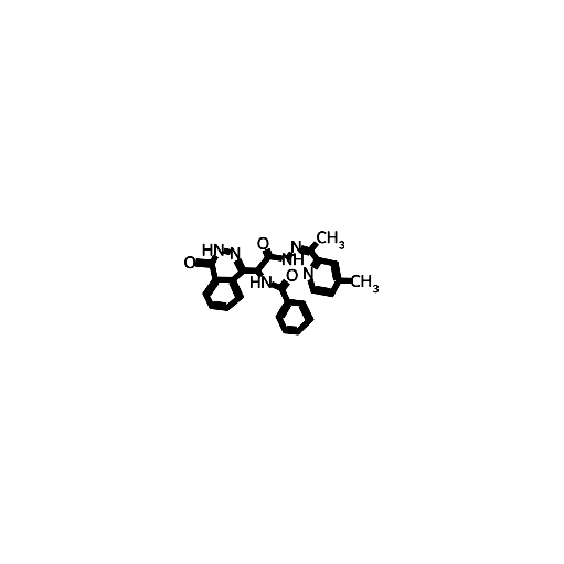 CC(=NNC(=O)C(NC(=O)c1ccccc1)c1n[nH]c(=O)c2ccccc12)c1cc(C)ccn1